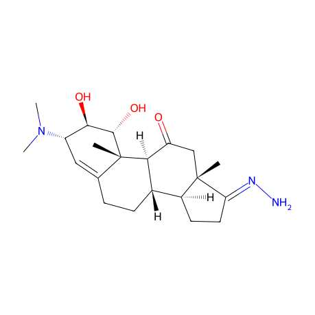 CN(C)[C@H]1C=C2CC[C@@H]3[C@H](C(=O)C[C@]4(C)C(=NN)CC[C@@H]34)[C@@]2(C)[C@@H](O)[C@@H]1O